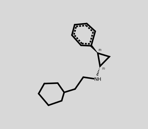 c1ccc([C@H]2C[C@@H]2NCCC2CCCCC2)cc1